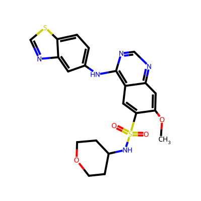 COc1cc2ncnc(Nc3ccc4scnc4c3)c2cc1S(=O)(=O)NC1CCOCC1